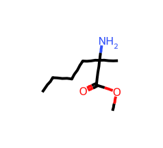 CCCCC(C)(N)C(=O)OC